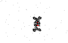 c1ccc(-c2cc(-c3ccc4c(c3)S3(c5ccccc5O4)c4ccccc4Oc4ccc(-c5nc(-c6ccccc6)nc(-c6ccccc6)n5)cc43)nc(-c3ccccc3)n2)cc1